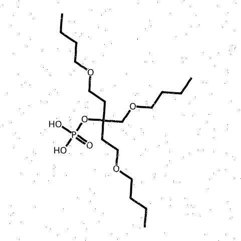 CCCCOCCC(CCOCCCC)(COCCCC)OP(=O)(O)O